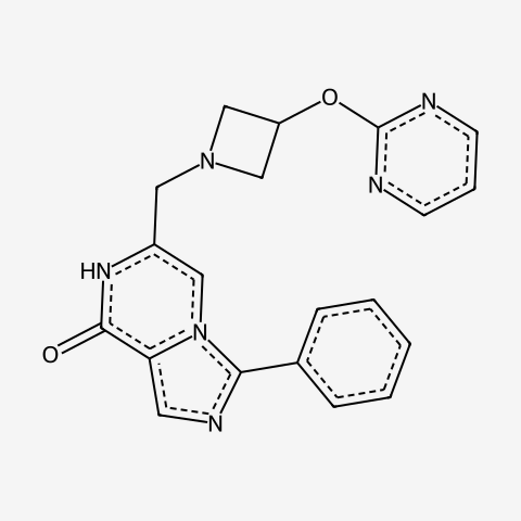 O=c1[nH]c(CN2CC(Oc3ncccn3)C2)cn2c(-c3ccccc3)ncc12